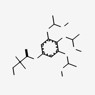 CCOC(C)Oc1cc(OC(=O)C(C)(CC(C)(C)C)C(C)(C)C)cc(OC(C)OCC)c1OC(C)OCC